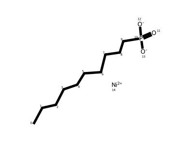 CCCCCCCCCCP(=O)([O-])[O-].[Ni+2]